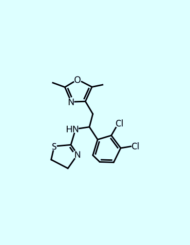 Cc1nc(CC(NC2=NCCS2)c2cccc(Cl)c2Cl)c(C)o1